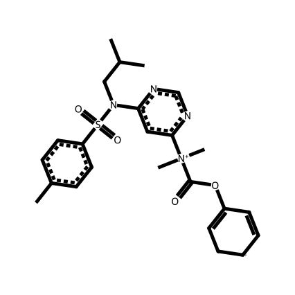 Cc1ccc(S(=O)(=O)N(CC(C)C)c2cc([N+](C)(C)C(=O)OC3=CC[CH]C=C3)ncn2)cc1